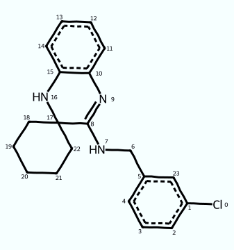 Clc1cccc(CNC2=Nc3ccccc3NC23CCCCC3)c1